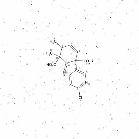 CC1C=CC(C(=O)O)(c2ccc(Cl)nc2)C(=N)C1(C)C(=O)O